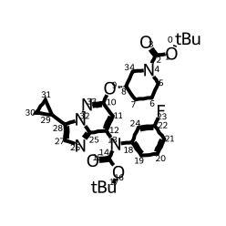 CC(C)(C)OC(=O)N1CCC[C@H](Oc2cc(N(C(=O)OC(C)(C)C)c3cccc(F)c3)c3ncc(C4CC4)n3n2)C1